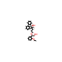 CCOc1ccccc1[C@H](CO)OCCCC(C)(C)[Si](O)(c1ccccc1)c1ccccc1